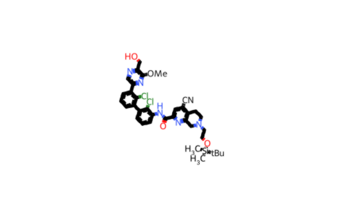 COc1nc(-c2cccc(-c3cccc(NC(=O)c4cc(C#N)c5c(n4)CN(CCO[Si](C)(C)C(C)(C)C)CC5)c3Cl)c2Cl)cnc1CO